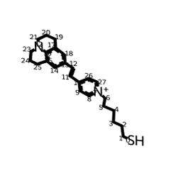 SCCCCCC[n+]1ccc(/C=C/c2cc3c4c(c2)CCCN4CCC3)cc1